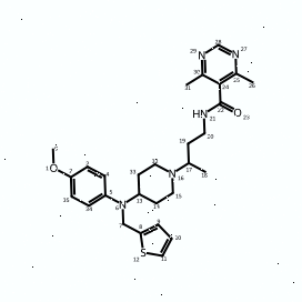 COc1ccc(N(Cc2cccs2)C2CCN(C(C)CCNC(=O)c3c(C)ncnc3C)CC2)cc1